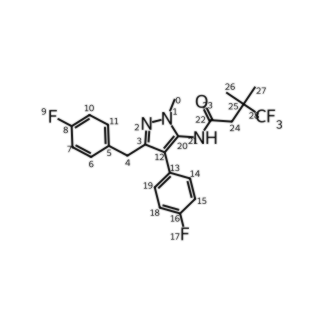 Cn1nc(Cc2ccc(F)cc2)c(-c2ccc(F)cc2)c1NC(=O)CC(C)(C)C(F)(F)F